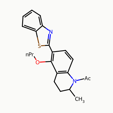 CCCOc1c(-c2nc3ccccc3s2)ccc2c1CCC(C)N2C(C)=O